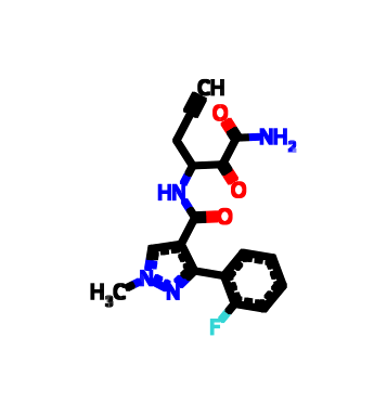 C#CCC(NC(=O)c1cn(C)nc1-c1ccccc1F)C(=O)C(N)=O